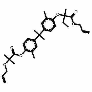 C=CCOC(=O)C(C)(CC)Oc1ccc(C(C)(C)c2ccc(OC(=O)C(C)(C)OCC=C)c(C)c2)cc1C